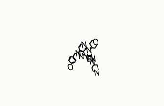 COc1ccc(Cn2nc(-c3cnn(C4CCN(C)CC4)c3)c3c(NC4CCOCC4)nccc32)cc1